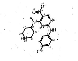 CN(c1nc(Nc2ccc(Cl)cc2)ncc1[N+](=O)[O-])C1CCNCC1